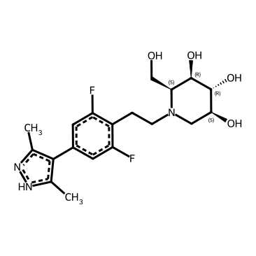 Cc1n[nH]c(C)c1-c1cc(F)c(CCN2C[C@H](O)[C@@H](O)[C@H](O)[C@@H]2CO)c(F)c1